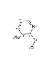 [Na+].[O-]Cc1ccccn1